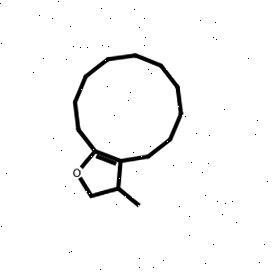 CC1COC2=C1CCCCCCCCCC2